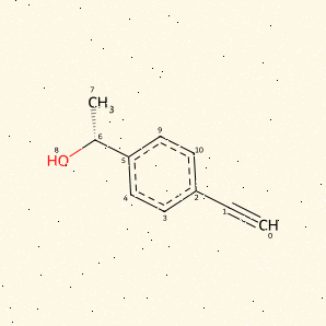 C#Cc1ccc([C@@H](C)O)cc1